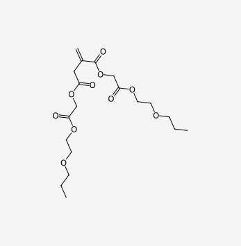 C=C(CC(=O)OCC(=O)OCCOCCC)C(=O)OCC(=O)OCCOCCC